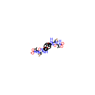 COC(=O)N[C@H](C(=O)N1CSC[C@H]1c1nc2cc(-c3cc4ccc3CCc3ccc(c(-c5ccc6[nH]c([C@@H]7CSCN7C(=O)[C@@H](NC(=O)OC)C(C)C)nc6c5)c3)CC4)ccc2[nH]1)C(C)C